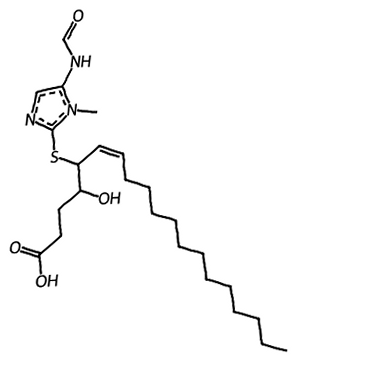 CCCCCCCCCCCC/C=C\C(Sc1ncc(NC=O)n1C)C(O)CCC(=O)O